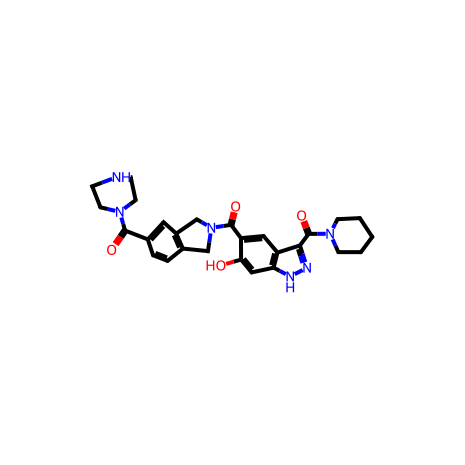 O=C(c1ccc2c(c1)CN(C(=O)c1cc3c(C(=O)N4CCCCC4)n[nH]c3cc1O)C2)N1CCNCC1